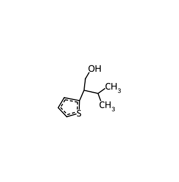 CC(C)C(CO)c1cccs1